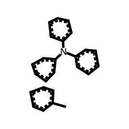 Cc1ccccc1.c1ccc(N(c2ccccc2)c2ccccc2)cc1